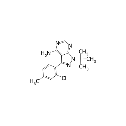 Cc1ccc(-c2nn(C(C)(C)C)c3ncnc(N)c23)c(Cl)c1